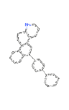 c1ccc(-c2ccc(-c3cc4c5cccnc5ccc4c4ccccc34)cc2)cc1